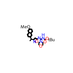 COc1ccc2cc(C(C)c3cc(/N=C(/NC(=O)OC(C)(C)C)N4CCOCC4)on3)ccc2c1